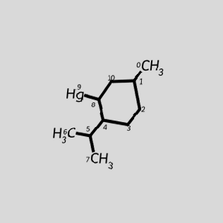 CC1CCC(C(C)C)[CH]([Hg])C1